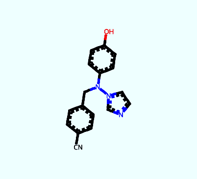 N#Cc1ccc(CN(c2ccc(O)cc2)n2ccnc2)cc1